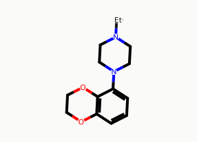 C[CH]N1CCN(c2cccc3c2OCCO3)CC1